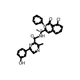 Cc1ncc(-c2cccc(O)c2)nc1C(=O)N[C@@H](C)c1cc2cccc(Cl)c2c(=O)n1-c1ccccc1